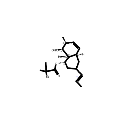 C/C=C/C1C[C@H](OC(=O)C(C)(C)CC)[C@@H]2[C@@H](C=O)[C@@H](C)C=C[C@H]2C1